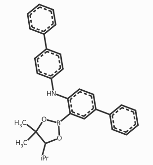 CC(C)C1OB(c2cc(-c3ccccc3)ccc2Nc2ccc(-c3ccccc3)cc2)OC1(C)C